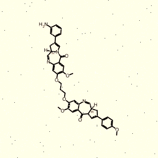 COc1ccc(C2=CC3C(=O)c4cc(OC)c(OCCCOc5cc6c(cc5OC)C(=O)N5C=C(c7cccc(N)c7)C[C@H]5C=N6)cc4N=C[C@@H]3C2)cc1